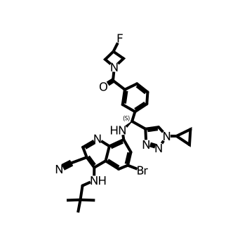 CC(C)(C)CNc1c(C#N)cnc2c(N[C@@H](c3cccc(C(=O)N4CC(F)C4)c3)c3cn(C4CC4)nn3)cc(Br)cc12